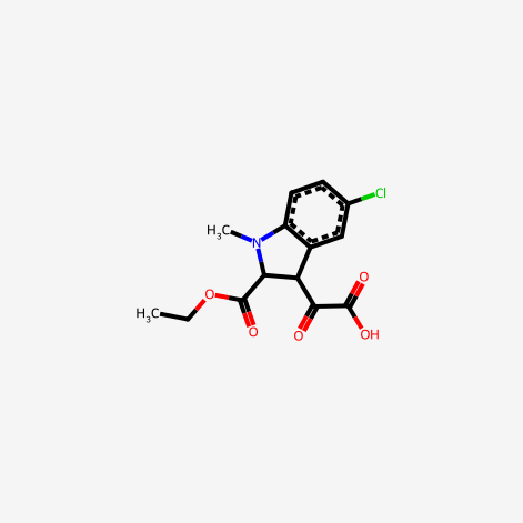 CCOC(=O)C1C(C(=O)C(=O)O)c2cc(Cl)ccc2N1C